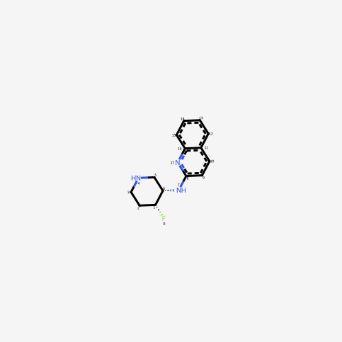 F[C@@H]1CCNC[C@@H]1Nc1ccc2ccccc2n1